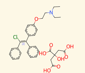 CCN(CC)CCOc1ccc(/C(=C(\Cl)c2ccccc2)c2ccccc2)cc1.O=C(O)CC(O)(CC(=O)O)C(=O)O